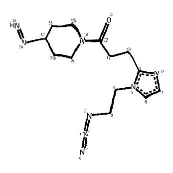 [N-]=[N+]=NCCn1ccnc1CCC(=O)N1CCC(N=N)CC1